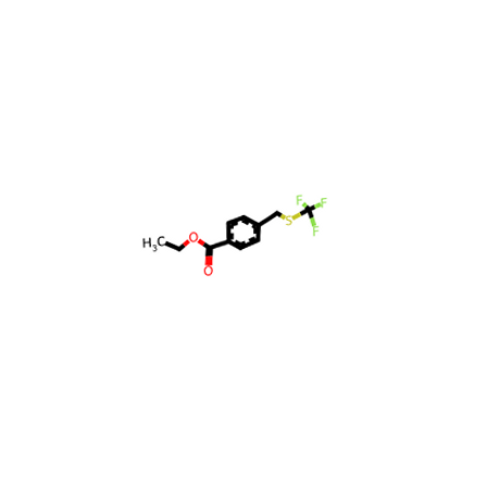 CCOC(=O)c1ccc(CSC(F)(F)F)cc1